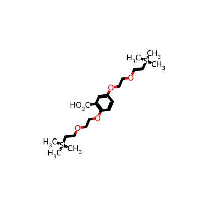 C[Si](C)(C)CCOCCOc1ccc(OCCOCC[Si](C)(C)C)c(C(=O)O)c1